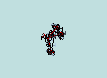 CC(=O)N[C@@H]1[C@H](OCCCCCNC(=O)COCCNC(=O)CCC(CCC(=O)NCCOCC(=O)NCCCCCO[C@@H]2O[C@H](COC(C)=O)[C@H](OC(C)=O)[C@H](OC(C)=O)[C@@H]2NC(C)=O)(CCC(=O)NCCOCC(=O)NCCCCCO[C@@H]2O[C@H](COC(C)=O)[C@H](OC(C)=O)[C@H](OC(C)=O)[C@@H]2NC(C)=O)NC(=O)OCC2c3ccccc3-c3ccccc32)O[C@H](COC(C)=O)[C@H](OC(C)=O)[C@@H]1OC(C)=O